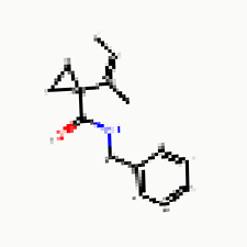 C/C=C(/C)C1(C(=O)NCc2ccccc2)CC1